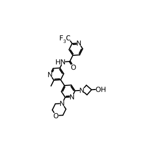 Cc1ncc(NC(=O)c2ccnc(C(F)(F)F)c2)cc1-c1cc(N2CCOCC2)nc(N2CC(O)C2)c1